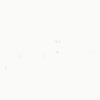 CCCCOc1ccc(C[C@H](NC(=O)C(F)(F)F)c2nc(/C=C(C)/C=C(/C)C(=O)OCC)cs2)cc1